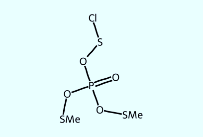 CSOP(=O)(OSC)OSCl